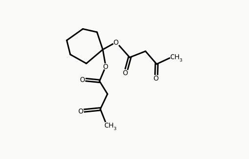 CC(=O)CC(=O)OC1(OC(=O)CC(C)=O)CCCCC1